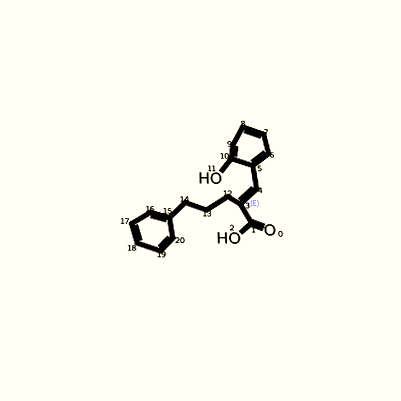 O=C(O)/C(=C/c1ccccc1O)CCCc1ccccc1